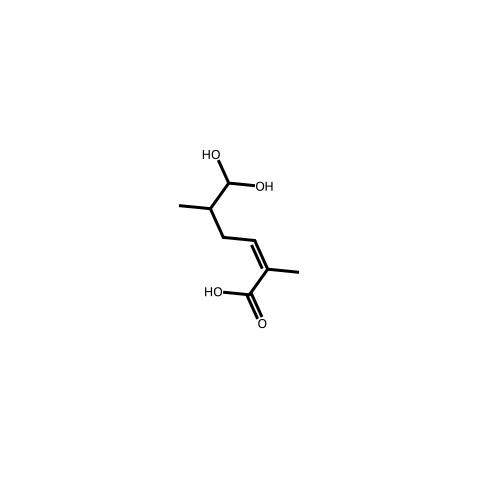 CC(=CCC(C)C(O)O)C(=O)O